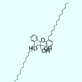 CCCCCCCCCCCCCCc1ccccc1OC(c1ccccc1CCCCCCCCCCCCCC)C(CO)(CO)CO